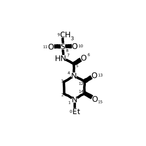 CCN1CCN(C(=O)NS(C)(=O)=O)C(=O)C1=O